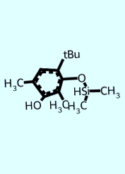 Cc1cc(C(C)(C)C)c(O[SiH](C)C)c(C)c1O